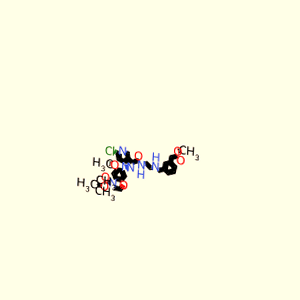 COC(=O)Cc1cccc(CNCCNC(=O)c2nn(-c3cc4c(cc3OC)N(C(=O)OC(C)(C)C)CCO4)c3cc(Cl)ncc23)c1